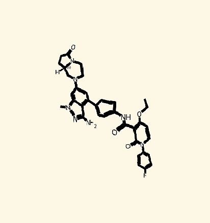 CCOc1ccn(-c2ccc(F)cc2)c(=O)c1C(=O)Nc1ccc(-c2cc(N3CCN4C(=O)CC[C@H]4C3)cc3c2c(N)nn3C)cc1